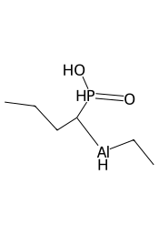 CCC[CH]([AlH][CH2]C)[PH](=O)O